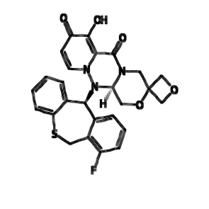 O=C1c2c(O)c(=O)ccn2N([C@@H]2c3ccccc3SCc3c(F)cccc32)[C@@H]2COC3(COC3)CN12